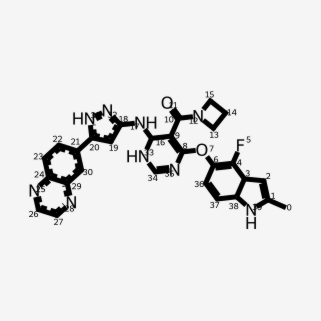 CC1=CC2C(F)=C(OC3=C(C(=O)N4CCC4)C(Nc4cc(-c5ccc6nccnc6c5)[nH]n4)NC=N3)C=CC2N1